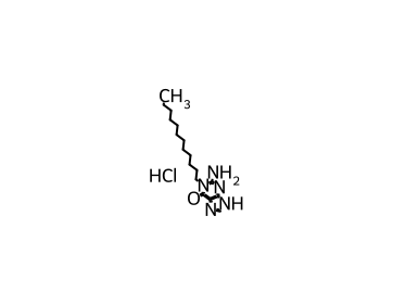 CCCCCCCCCCCCn1c(N)nc2[nH]cnc2c1=O.Cl